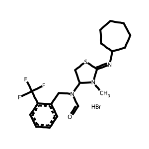 Br.CN1C(=NC2CCCCCC2)SCC1N(C=O)Cc1ccccc1C(F)(F)F